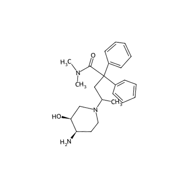 CC(CC(C(=O)N(C)C)(c1ccccc1)c1ccccc1)N1CC[C@@H](N)[C@@H](O)C1